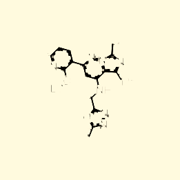 CCOc1ncccc1-c1cc(NCc2nnc(C)o2)c2c(C(C)C)nc(C)n2n1